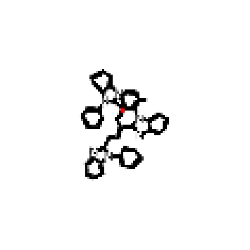 CCC/C(=C\C(=C/Cc1nc2ccccc2n1-c1ccccc1)c1nc2ccccc2n1-c1ccccc1)c1nc2ccccc2n1-c1ccccc1